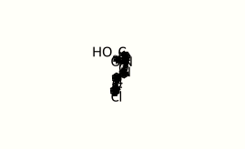 O=C(O)c1ccc2nc(COc3cc(-c4cccc(OCc5ccc(Cl)cc5F)c4)ccn3)n(C[C@@H]3CCO3)c2n1